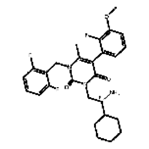 COc1cccc(-c2c(C)n(Cc3c(F)cccc3F)c(=O)n(C[C@H](N)C3CCCCC3)c2=O)c1F